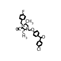 C[C@@H]1C(=C=O)N(Cc2ccc(F)cc2)[C@@H](C)CN1COc1ccc(C(=O)c2ccc(Cl)cc2)cc1